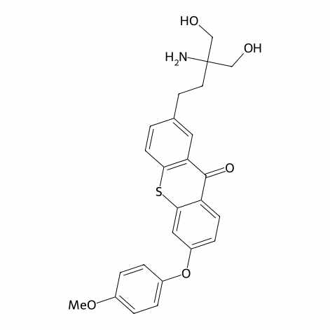 COc1ccc(Oc2ccc3c(=O)c4cc(CCC(N)(CO)CO)ccc4sc3c2)cc1